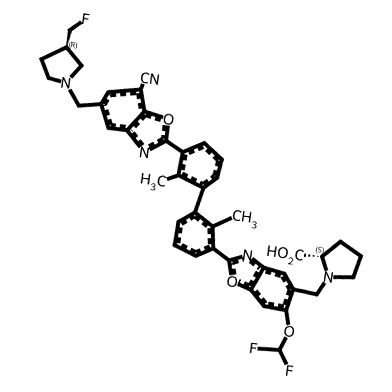 Cc1c(-c2nc3cc(CN4CCC[C@H]4C(=O)O)c(OC(F)F)cc3o2)cccc1-c1cccc(-c2nc3cc(CN4CC[C@@H](CF)C4)cc(C#N)c3o2)c1C